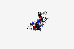 CCCOCCN(CC(=O)N[C@@H](CCc1ccccc1)C(=O)N[C@@H](CC(C)C)C(=O)N[C@@H](Cc1ccccc1)C(=O)N[C@@H](C)C(=O)[C@@]1(C)CO1)Cc1ccc(OC(C)=O)c(OCc2ccc(C=O)cc2)c1